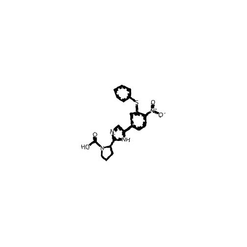 O=C(O)N1CCCC1c1ncc(-c2ccc([N+](=O)[O-])c(Sc3ccccc3)c2)[nH]1